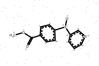 COC(=O)c1ccc([S+]([O-])c2cccnc2)cc1